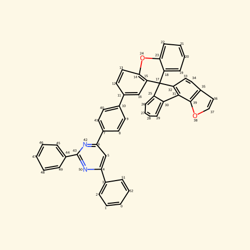 c1ccc(-c2cc(-c3ccc(-c4ccc5c(c4)C4(c6ccccc6O5)c5ccccc5-c5c4ccc4ccoc54)cc3)nc(-c3ccccc3)n2)cc1